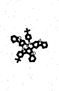 CC(C)(C)c1ccc(N2B3c4cc5oc6ccccc6c5cc4-n4c5ccc(C(C)(C)C)cc5c5c6c(oc7ccccc76)c(c3c54)-c3cc4c(cc32)sc2ccccc24)cc1